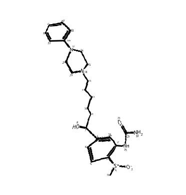 C[S+]([O-])c1ccc(C(O)CCCCCN2CCN(c3ccccc3)CC2)cc1NC(N)=O